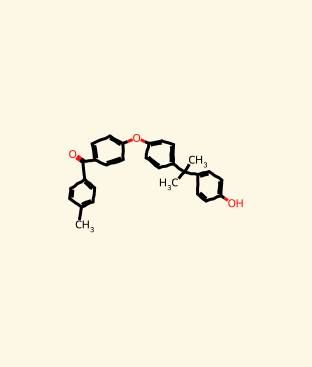 Cc1ccc(C(=O)c2ccc(Oc3ccc(C(C)(C)c4ccc(O)cc4)cc3)cc2)cc1